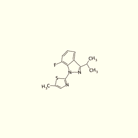 Cc1cnc(-n2nc(C(C)C)c3cccc(F)c32)s1